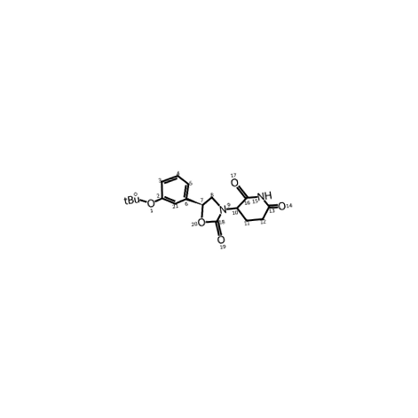 CC(C)(C)Oc1cccc([C@H]2CN(C3CCC(=O)NC3=O)C(=O)O2)c1